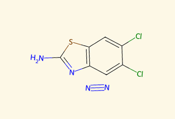 N#N.Nc1nc2cc(Cl)c(Cl)cc2s1